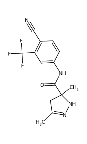 CC1=NNC(C)(C(=O)Nc2ccc(C#N)c(C(F)(F)F)c2)C1